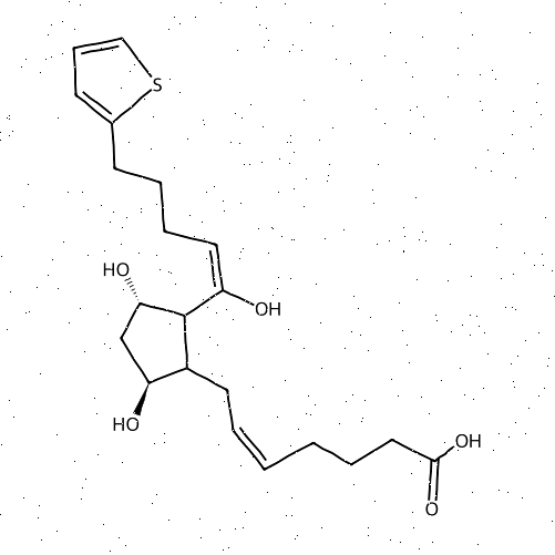 O=C(O)CCC/C=C\CC1C(/C(O)=C\CCCc2cccs2)[C@@H](O)C[C@@H]1O